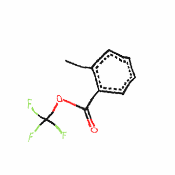 Cc1ccccc1C(=O)OC(F)(F)F